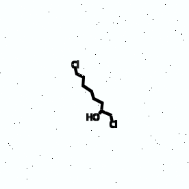 OC(CCl)CCCCCCCl